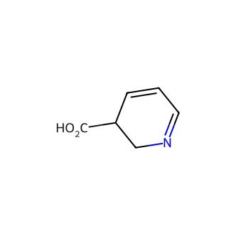 O=C(O)C1C=CC=NC1